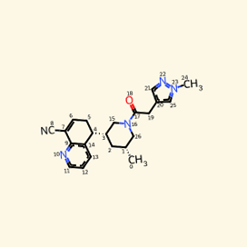 C[C@@H]1C[C@H](C2CC=C(C#N)c3ncccc32)CN(C(=O)Cc2cnn(C)c2)C1